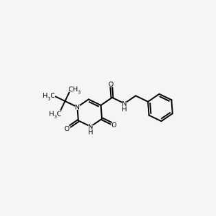 CC(C)(C)n1cc(C(=O)NCc2ccccc2)c(=O)[nH]c1=O